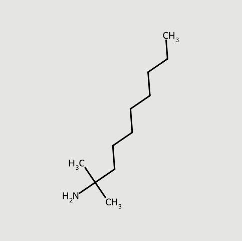 CCCCCCCCC(C)(C)N